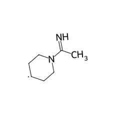 CC(=N)N1CC[CH]CC1